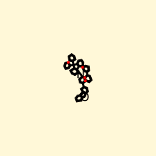 c1ccc(-c2ccccc2N(c2ccc(-c3ccc4oc5ccccc5c4c3)cc2)c2cccc3c2-c2ccccc2C3(c2ccccc2)c2ccccc2)cc1